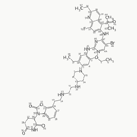 CCOc1cc(N2CCC(NCCNCCc3cccc4c3oc(=O)n4C3CCC(=O)NC3=O)CC2)c(CC)cc1Nc1ncc(Br)c(Nc2cc(F)c3nc(CC)ccc3c2P(C)(C)=O)n1